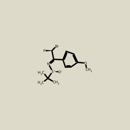 COc1ccc(/C(=N\[S@@+]([O-])C(C)(C)C)[C@@H](F)Br)cc1